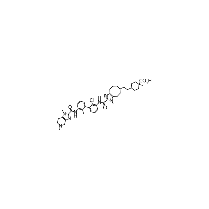 Cc1c(NC(=O)c2nc3c(n2C)CCN(C)C3)cccc1-c1cccc(NC(=O)c2nc3c(n2C)CCC(CCC2CCC(C)(C(=O)O)CC2)CCC3)c1Cl